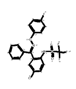 O=S(=O)(Nc1ccc(Cl)cc1/C(=N/Oc1ccc(F)cc1)c1ccccc1)C(F)(F)F